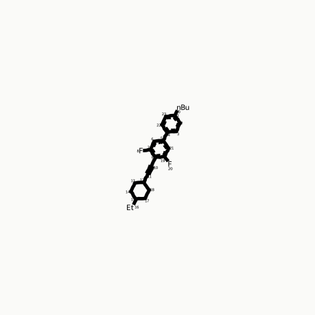 CCCCc1ccc(-c2cc(F)c(C#CC3CCC(CC)CC3)c(F)c2)cc1